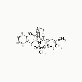 CNC(=O)[C@H](Cc1ccccc1)N(C(=O)[C@@H](N)CC(C)C)S(C)(=O)=O